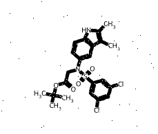 Cc1[nH]c2ccc(N(CC(=O)OC(C)(C)C)S(=O)(=O)c3cc(Cl)cc(Cl)c3)cc2c1C